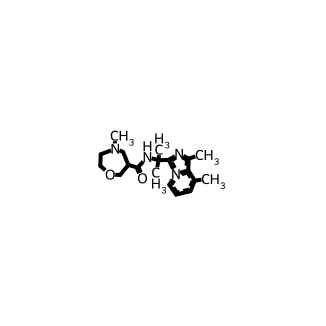 Cc1cccn2c(C(C)(C)NC(=O)C3COCCN(C)C3)nc(C)c12